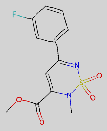 COC(=O)C1=CC(c2cccc(F)c2)=NS(=O)(=O)N1C